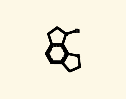 CCN1CCc2ccc3c(c21)SCC3